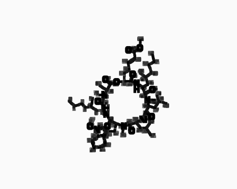 CCCCC(C)CC1NC(=O)C(Cc2cn(OC)c3ccccc23)N(C)C(=O)C(CC(C)C)NC(=O)C(CC(C)C)N(C)C(=O)C(CC(C)CCCC)NC(=O)C(CC/C=C/C(=O)OC)OC(=O)C(C)N(C)C1=O